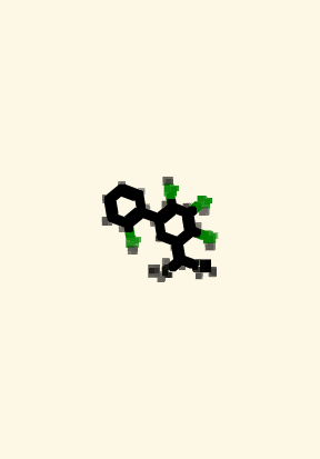 CC(C)=C1[CH]C(c2[c]cccc2Br)=C(Br)C(Br)=C1Br